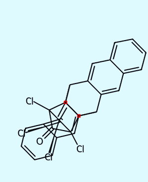 O=C1C2(Cl)C(Cl)=C(Cl)C1(Cl)C1C3c4cc5ccccc5cc4C(c4cc5ccccc5cc43)C12